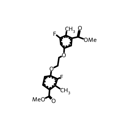 COC(=O)c1cc(OCCOc2ccc(C(=O)OC)c(C)c2F)cc(F)c1C